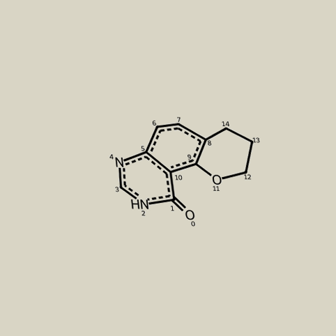 O=c1[nH]cnc2ccc3c(c12)OCCC3